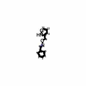 [c]1ccccc1/C=N/OCC1=CC=CON1